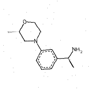 CC(N)c1cccc(N2CCO[C@@H](C)C2)c1